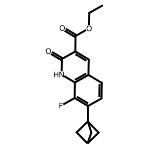 CCOC(=O)c1cc2ccc(C34CC(C3)C4)c(F)c2[nH]c1=O